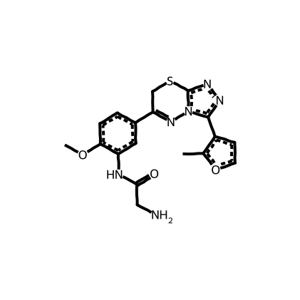 COc1ccc(C2=Nn3c(nnc3-c3ccoc3C)SC2)cc1NC(=O)CN